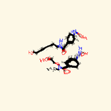 CCN(OCCO)C(=O)c1ccc(NO)cc1.O=C(NCCCCCCO)c1ccc(NO)cc1